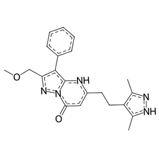 COCc1nn2c(=O)cc(CCc3c(C)n[nH]c3C)[nH]c2c1-c1ccccc1